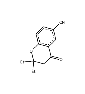 CCC1(CC)CC(=O)c2cc(C#N)ccc2O1